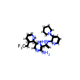 C=C(Nc1ncccc1N1CCCCC1)c1nc(-c2ncccc2CC(F)(F)F)cnc1N